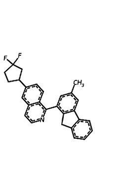 Cc1cc2c(c(-c3nccc4cc(C5CCC(F)(F)C5)ccc34)c1)Cc1ccccc1-2